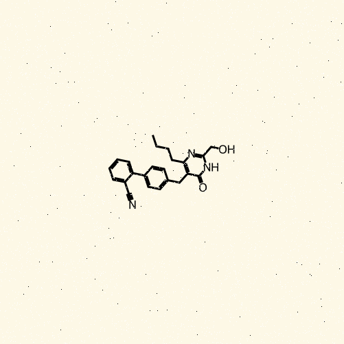 CCCCc1nc(CO)[nH]c(=O)c1Cc1ccc(-c2ccccc2C#N)cc1